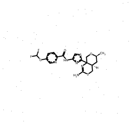 C[C@H]1C[C@H]2CSC(N)=NC2(c2nc(NC(=O)c3ccc(OC(F)F)cn3)cs2)CO1